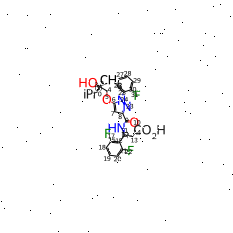 CC(C)[C@](C)(O)COc1cc(C(=O)N[C@@H](CC(=O)O)c2c(F)cccc2F)nn1-c1ccccc1F